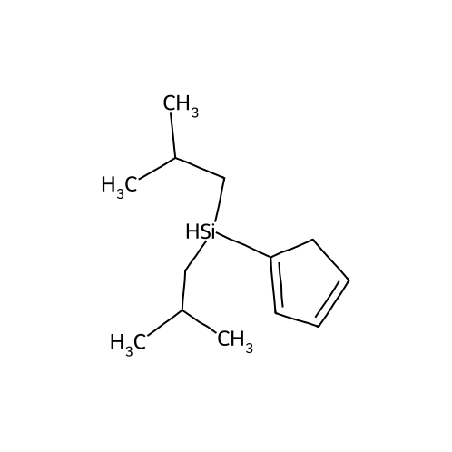 CC(C)C[SiH](CC(C)C)C1=CC=CC1